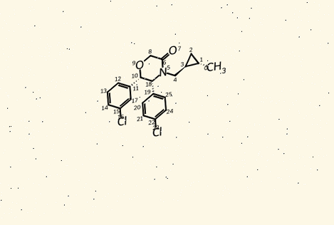 C[C@H]1C[C@@H]1CN1C(=O)CO[C@@H](c2cccc(Cl)c2)[C@H]1c1ccc(Cl)cc1